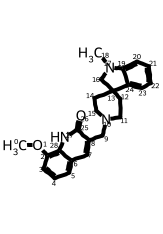 COc1cccc2cc(CN3CCC4(CC3)CN(C)c3ccccc34)c(=O)[nH]c12